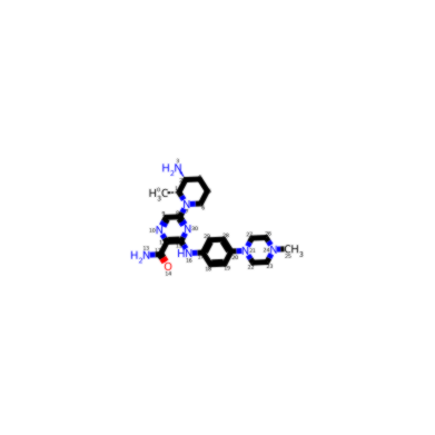 C[C@@H]1[C@H](N)CCCN1c1cnc(C(N)=O)c(Nc2ccc(N3CCN(C)CC3)cc2)n1